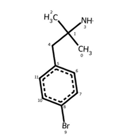 CC(C)([NH])Cc1ccc(Br)cc1